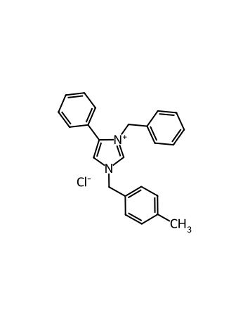 Cc1ccc(Cn2cc(-c3ccccc3)[n+](Cc3ccccc3)c2)cc1.[Cl-]